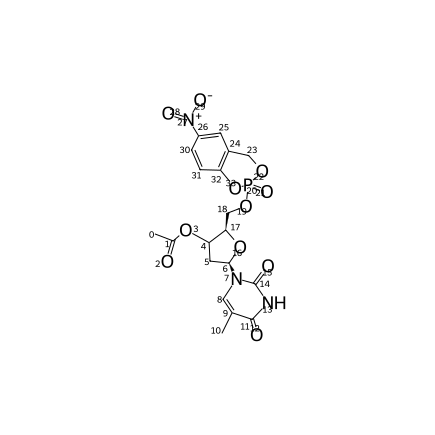 CC(=O)OC1C[C@H](n2cc(C)c(=O)[nH]c2=O)O[C@@H]1COP1(=O)OCc2cc([N+](=O)[O-])ccc2O1